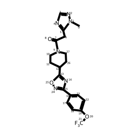 Cn1ncnc1CC(=O)N1CCC(c2nc(-c3ccc(OC(F)(F)F)cc3)no2)CC1